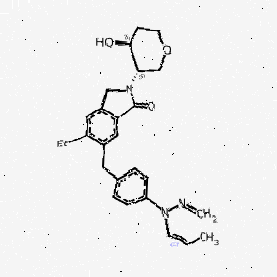 C=NN(/C=C\C)c1ccc(Cc2cc3c(cc2CC)CN([C@H]2COCC[C@@H]2O)C3=O)cc1